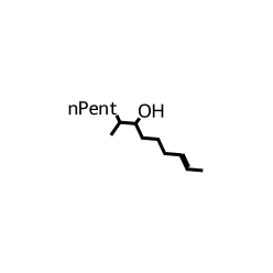 CC=CCCCC(O)C(C)CCCCC